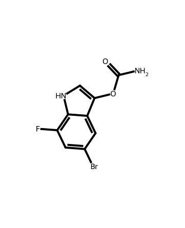 NC(=O)Oc1c[nH]c2c(F)cc(Br)cc12